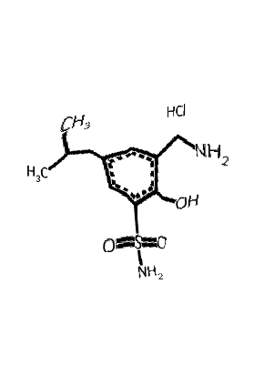 CC(C)c1cc(CN)c(O)c(S(N)(=O)=O)c1.Cl